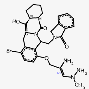 CN(N)/C=C(\N)COc1ccc(Br)c2c1C(CN1Cc3ccccc3C1=O)N(C(=O)[C@@H]1CCCC[C@@H]1C(=O)O)CC2